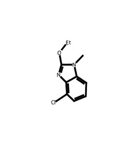 CCOc1nc2c(Cl)cccc2n1C